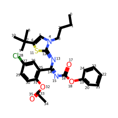 CCCCn1cc(C(C)(C)C)s/c1=N\C(=NC(=O)Oc1ccccc1)c1cc(Cl)ccc1OC(C)=O